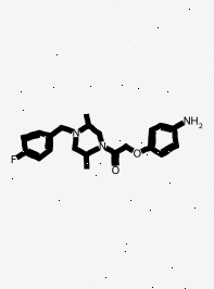 CC1CN(C(=O)COc2ccc(N)cc2)C(C)CN1Cc1ccc(F)cc1